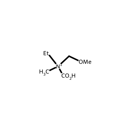 CC[N+](C)(COC)C(=O)O